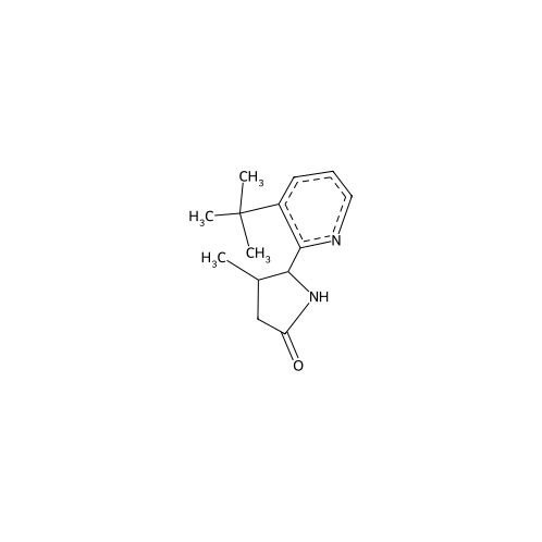 CC1CC(=O)NC1c1ncccc1C(C)(C)C